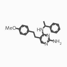 COc1ccc(CCc2cnc(N)nc2NC(C)c2ccccc2)cc1